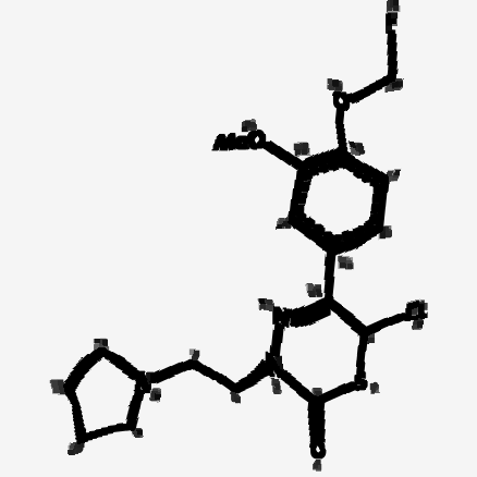 CCC1SC(=O)N(CCN2CCCC2)N=C1c1ccc(OCF)c(OC)c1